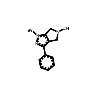 CC(C)n1nc(-c2ccccc2)c2c1CN(C#N)C2